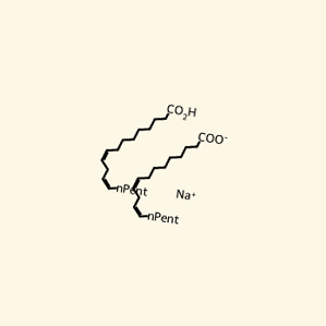 CCCCC/C=C\C/C=C\CCCCCCCC(=O)O.CCCCC/C=C\C/C=C\CCCCCCCC(=O)[O-].[Na+]